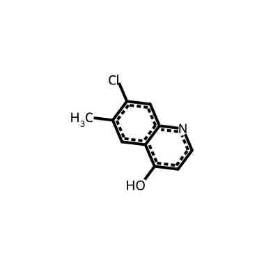 Cc1cc2c(O)ccnc2cc1Cl